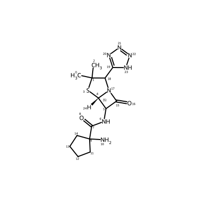 CC1(C)S[C@H]2C(NC(=O)C3(N)CCCC3)C(=O)N2C1c1nnn[nH]1